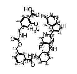 COc1cc(CNC(=O)OCc2ccnc(C(=O)N[C@@H]3CCC[C@H](Nc4nc(-c5c[nH]c6ncc(F)cc56)ncc4F)C3)c2)ccc1C(=O)O